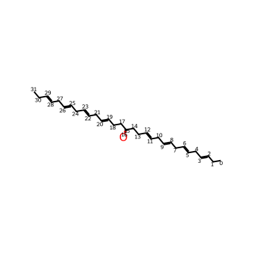 CCC=CCC=CCC=CCC=CCCC(=O)CCC=CCC=CCC=CCC=CCC